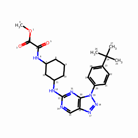 COC(=O)C(=O)NC1CCCC(Nc2ncc3nnn(-c4ccc(C(C)(C)C)cc4)c3n2)C1